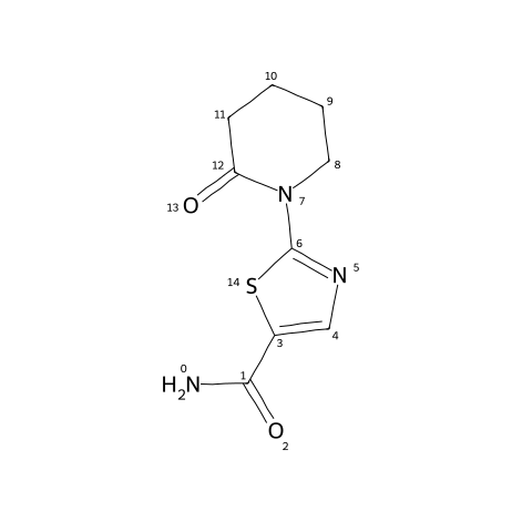 NC(=O)c1cnc(N2CCCCC2=O)s1